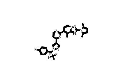 Cc1c(-c2nccc(-c3cnn([C@H](c4ccc(F)cc4)C(C)(F)F)c3)n2)ccn2nc(-n3c(C)ccc3C)nc12